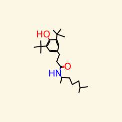 CC(C)CCCC(C)NC(=O)CCc1cc(C(C)(C)C)c(O)c(C(C)(C)C)c1